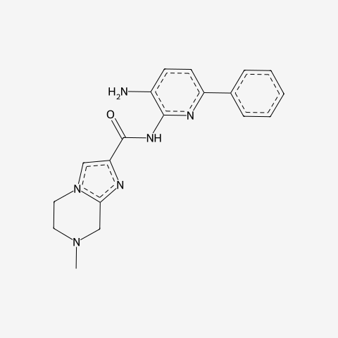 CN1CCn2cc(C(=O)Nc3nc(-c4ccccc4)ccc3N)nc2C1